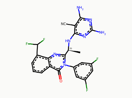 C[C@H](Nc1nc(N)nc(N)c1C#N)c1nc2c(C(F)F)cccc2c(=O)n1-c1cc(F)cc(F)c1